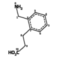 NCc1c[c]ccc1CCC(=O)O